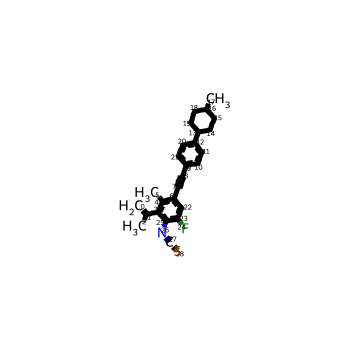 C=C(C)c1c(C)c(C#Cc2ccc(C3CCC(C)CC3)cc2)cc(F)c1N=C=S